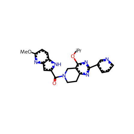 COc1ccc2[nH]c(C(=O)N3CCc4nc(-c5cccnc5)nc(OC(C)C)c4C3)cc2n1